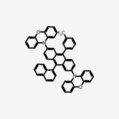 Cc1cccc(-c2c3cc(N4c5ccccc5Oc5ccccc54)ccc3c(-c3cccc4ccccc34)c3cc(N4c5ccccc5Oc5ccccc54)ccc23)c1